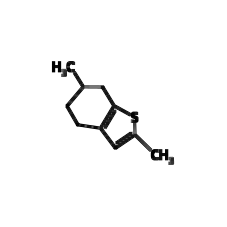 Cc1cc2c(s1)CC(C)CC2